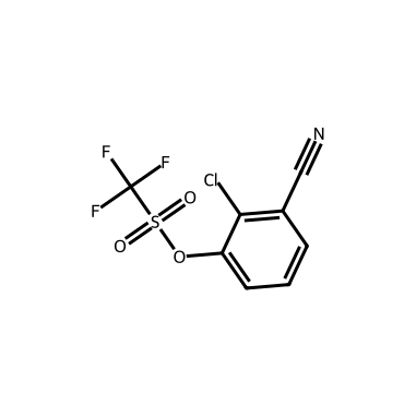 N#Cc1cccc(OS(=O)(=O)C(F)(F)F)c1Cl